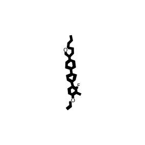 C=CCOc1ccc(-c2ccc(-c3ccc(C4CCC(CCC)OC4)cc3)cc2)c(F)c1C